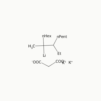 O=C([O-])CC(=O)[O-].[K+].[K+].[Li][C](C)(CCCCCC)C(CC)CCCCC